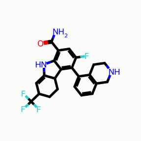 NC(=O)c1cc(F)c(-c2cccc3c2CCNC3)c2c1NC1=CC(C(F)(F)F)CCC12